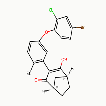 CCc1ccc(Oc2ccc(Br)cc2Cl)cc1C1=C(O)[C@H]2CC[C@H](C2)C1=O